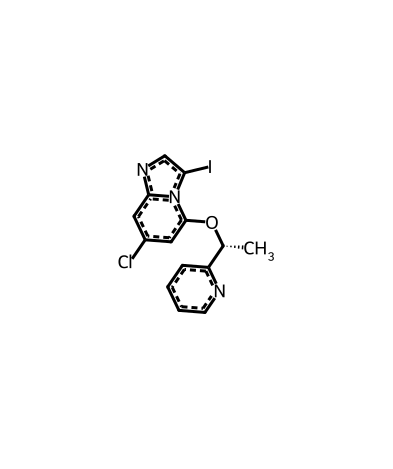 C[C@@H](Oc1cc(Cl)cc2ncc(I)n12)c1ccccn1